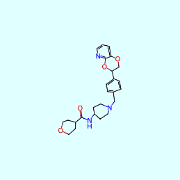 O=C(NC1CCN(Cc2ccc(C3COc4cccnc4O3)cc2)CC1)C1CCOCC1